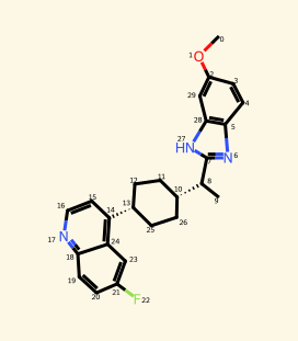 COc1ccc2nc(C(C)[C@H]3CC[C@@H](c4ccnc5ccc(F)cc54)CC3)[nH]c2c1